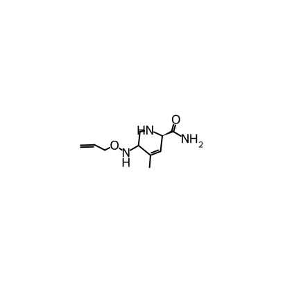 C=CCONC1CN[C@@H](C(N)=O)C=C1C